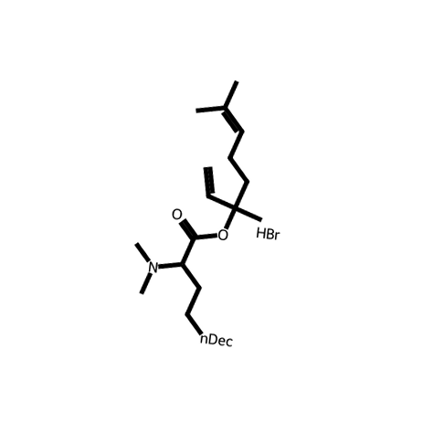 Br.C=CC(C)(CCC=C(C)C)OC(=O)C(CCCCCCCCCCCC)N(C)C